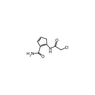 NC(=O)C1=C(NC(=O)CCl)CC=C1